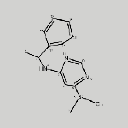 CC(Nc1cc([S+](C)[O-])ncn1)c1ccccc1